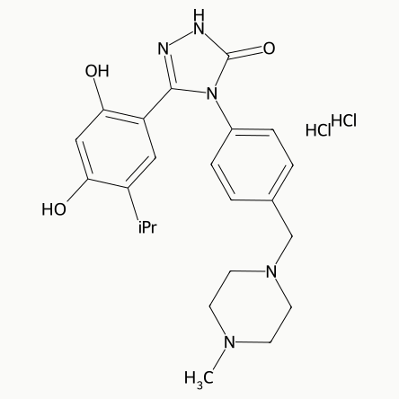 CC(C)c1cc(-c2n[nH]c(=O)n2-c2ccc(CN3CCN(C)CC3)cc2)c(O)cc1O.Cl.Cl